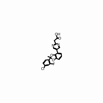 CC1(c2ccc(Cl)cc2F)Oc2cccc(-c3cnc(CC(=O)O)nc3)c2O1